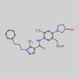 O=C(O)Cc1cc(NC(=O)c2ccn(CCCc3ccccc3)c2C(F)(F)F)c(C(F)(F)F)cc1N1CC[C@@H](O)C1